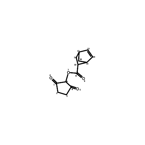 O=C1CCC(=O)C1OC(=O)C1CC2C=CC1C2